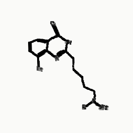 CCc1cccc2c(=O)[nH]c(CCCCCN(CC)CC)nc12